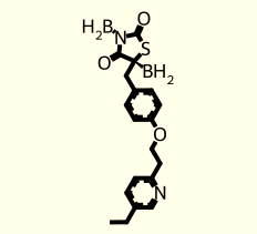 BN1C(=O)S[C@](B)(Cc2ccc(OCCc3ccc(CC)cn3)cc2)C1=O